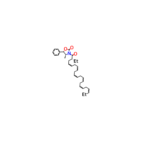 CC/C=C\C/C=C\C/C=C\C/C=C\C/C=C\C/C=C\C[C@@H](CC)C(=O)N1C(=O)OC(c2ccccc2)[C@@H]1C